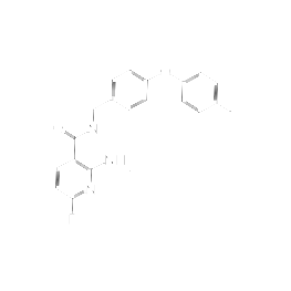 Nc1nc(F)ccc1C(=O)NCc1ccc(Oc2ccc(F)cc2)cc1